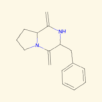 C=C1NC(Cc2ccccc2)C(=C)N2CCCC12